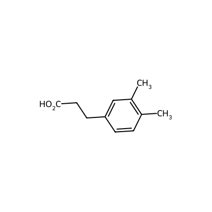 Cc1ccc(CCC(=O)O)cc1C